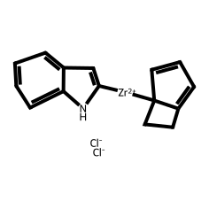 C1=C[C]2([Zr+2][c]3cc4ccccc4[nH]3)CCC2=C1.[Cl-].[Cl-]